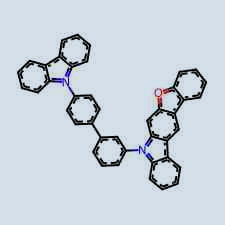 c1cc(-c2ccc(-n3c4ccccc4c4ccccc43)cc2)cc(-n2c3ccccc3c3cc4c(cc32)oc2ccccc24)c1